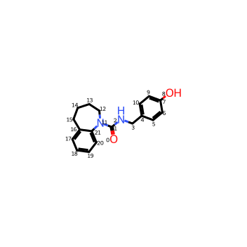 O=C(NCc1ccc(O)cc1)N1CCCCc2ccccc21